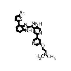 CC(=O)c1ccc(-c2cccc3[nH]c(-c4n[nH]c5cnc(-c6cncc(OCCN(C)C)c6)cc45)nc23)s1